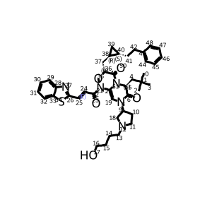 CC(C)(C)C[C@H]1C(=O)N(C2CCN(CCCCO)C2)C=C2N(C(=O)/C=C/c3nc4ccccc4s3)O[C@H](C[C@H]3C[C@@H]3CCc3ccccc3)C(=O)N21